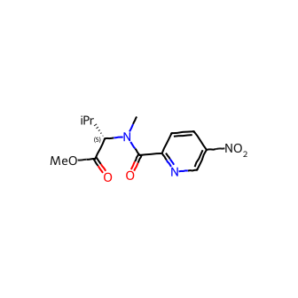 COC(=O)[C@H](C(C)C)N(C)C(=O)c1ccc([N+](=O)[O-])cn1